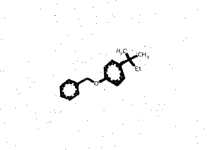 CCC(C)(C)c1ccc(OCc2cc[c]cc2)cc1